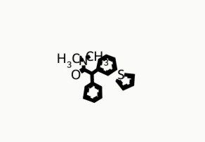 CN(C)C(=O)C(c1ccccc1)c1ccccc1.c1ccsc1